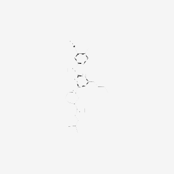 CCCCc1cc(N2CCCC(NCCC(C)C)C2)nc(Nc2ccc(C)c(C#N)c2)n1